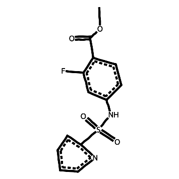 COC(=O)c1ccc(NS(=O)(=O)c2ccccn2)cc1F